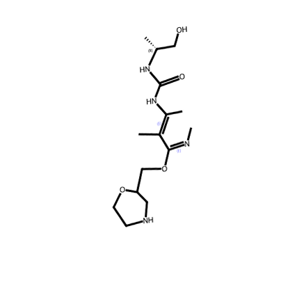 C/N=C(OCC1CNCCO1)\C(C)=C(/C)NC(=O)N[C@H](C)CO